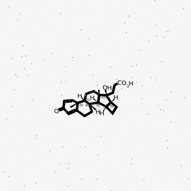 C[C@]12C=CC(=O)C=C1CC[C@H]1[C@@H]3[C@@H]4CC[C@@H]4[C@@](O)(CCC(=O)O)[C@@]3(C)CC[C@@H]12